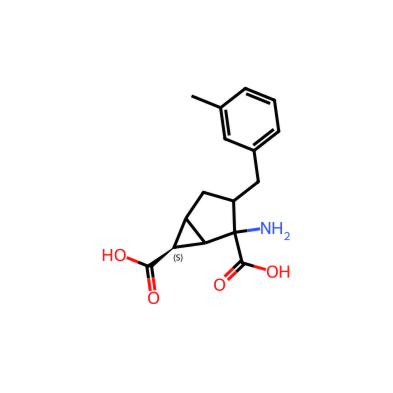 Cc1cccc(CC2CC3C([C@H]3C(=O)O)C2(N)C(=O)O)c1